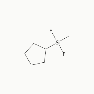 C[Si](F)(F)C1CCCC1